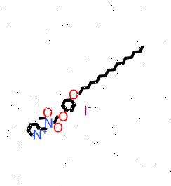 CCCCCCCCCCCCCCCCOc1ccc(OCC(=O)N(Cc2cccc[n+]2C)C(C)=O)cc1.[I-]